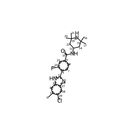 Cc1cc2[nH]c(-c3ccc(C(=O)NC4CC(C)(C)NC(C)(C)C4)cc3F)nc2cc1Cl